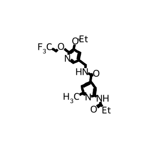 CCOc1cc(CNC(=O)c2cc(C)nc(NC(=O)CC)c2)cnc1OCC(F)(F)F